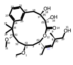 CO[C@@H]1C[C@@H](/C(C)=C\[C@@H](C)CO)OC(=O)[C@@H](O)[C@H](O)Cc2cccc(c2)C(C)(C)[C@@H](OC)C1